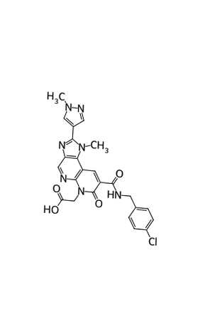 Cn1cc(-c2nc3cnc4c(cc(C(=O)NCc5ccc(Cl)cc5)c(=O)n4CC(=O)O)c3n2C)cn1